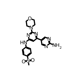 CS(=O)(=O)c1ccc(Nc2cc(-c3cnc(N)nc3)nc(N3CCOCC3)n2)cc1